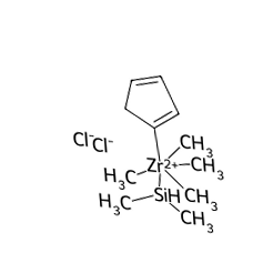 C[SiH](C)[Zr+2]([CH3])([CH3])([CH3])([CH3])[C]1=CC=CC1.[Cl-].[Cl-]